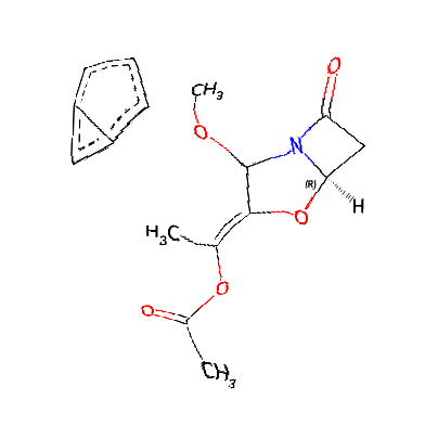 COC1C(=C(C)OC(C)=O)O[C@@H]2CC(=O)N12.c1cc2cc-2c1